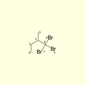 [CH2]CC(C)C(Br)(Br)Br